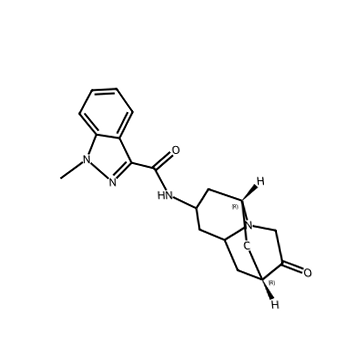 Cn1nc(C(=O)NC2CC3C[C@@H]4C[C@H](C2)N3CC4=O)c2ccccc21